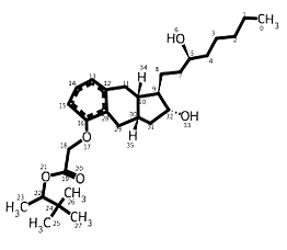 CCCCC[C@H](O)CC[C@@H]1[C@H]2Cc3cccc(OCC(=O)OC(C)C(C)(C)C)c3C[C@H]2C[C@H]1O